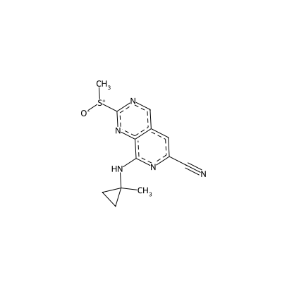 C[S+]([O-])c1ncc2cc(C#N)nc(NC3(C)CC3)c2n1